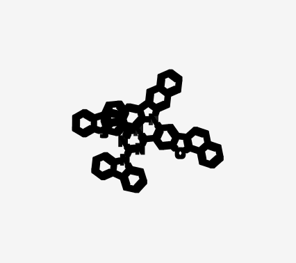 c1ccc2cc3c(cc2c1)c1cc2ccccc2cc1n3-c1cc2c(cc1-c1nc(-c3cccc4c3sc3ccccc34)nc(-n3c4ccccc4c4ccccc43)n1)oc1c3ccccc3ccc21